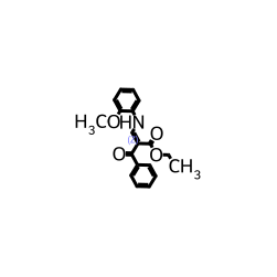 CCOC(=O)/C(=C\Nc1ccccc1OC)C(=O)c1ccccc1